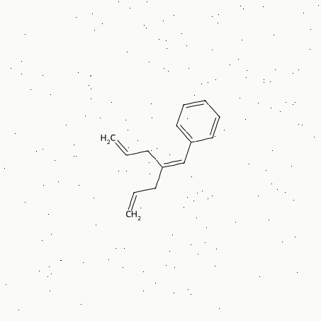 C=CCC(=Cc1ccccc1)CC=C